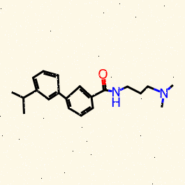 CC(C)c1cccc(-c2cccc(C(=O)NCCCN(C)C)c2)c1